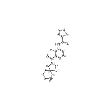 Cc1c(NC(=O)c2ccco2)cccc1C(=O)N1CCC2(CCCNC2)C1